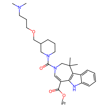 CC(C)OC(=O)C1=CN(C(=O)N2CCCC(COCCCN(C)C)C2)CC(C)(C)c2c1[nH]c1ccccc21